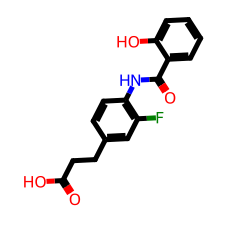 O=C(O)CCc1ccc(NC(=O)c2ccccc2O)c(F)c1